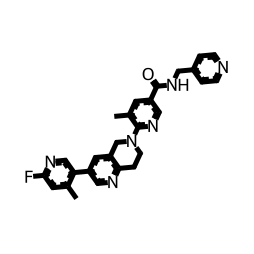 Cc1cc(F)ncc1-c1cnc2c(c1)CN(c1ncc(C(=O)NCc3ccncc3)cc1C)CC2